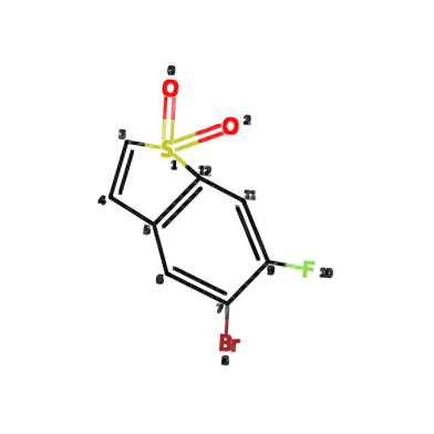 O=S1(=O)C=Cc2cc(Br)c(F)cc21